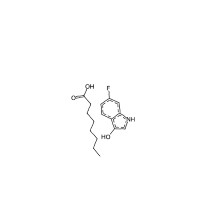 CCCCCCCC(=O)O.Oc1c[nH]c2cc(F)ccc12